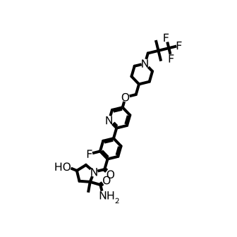 CC1(C(N)=O)CC(O)CN1C(=O)c1ccc(-c2ccc(OCC3CCN(CC(C)(C)C(F)(F)F)CC3)cn2)cc1F